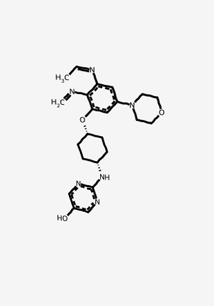 C=Nc1c(/N=C\C)cc(N2CCOCC2)cc1O[C@H]1CC[C@@H](Nc2ncc(O)cn2)CC1